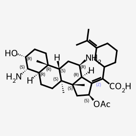 CC(=O)O[C@H]1C[C@@]2(C)[C@H](/C1=C(/C(=O)O)C1CCCC(=C(C)C)C1)[C@H](N)C[C@H]1[C@@]3(C)CC[C@@H](O)[C@@H](N)[C@@H]3CC[C@@]12C